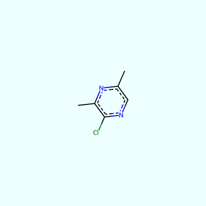 Cc1cnc(Cl)c(C)n1